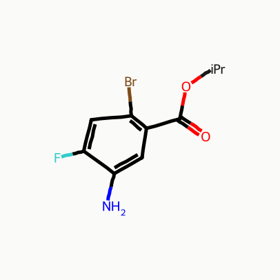 CC(C)OC(=O)c1cc(N)c(F)cc1Br